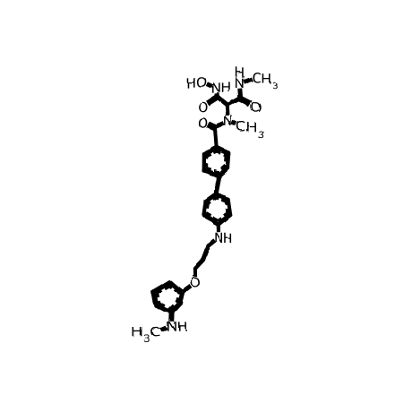 CNC(=O)C(C(=O)NO)N(C)C(=O)c1ccc(-c2ccc(NCCCOc3cccc(NC)c3)cc2)cc1